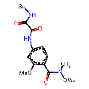 COc1cc(NC(=O)C(=O)NC(C)(C)C)ccc1C(=O)N(C)OC